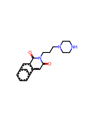 O=C1C=c2c(cc3cccc2c3)C(=O)N1CCCN1CCNCC1